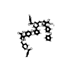 CC#CC(=O)N1CCC(Cn2cc(C(N)=O)c(-c3ccc(Oc4ccccc4C4CC(Cn5cc(C(N)=O)c(-c6ccc(Oc7ccccc7)cc6)n5)CN(C(=O)C#CC)C4)cc3)n2)CC1